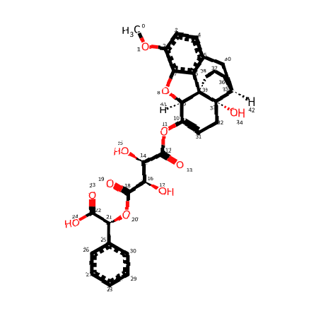 COc1ccc2c3c1O[C@@H]1C(OC(=O)[C@H](O)[C@@H](O)C(=O)O[C@H](C(=O)O)c4ccccc4)=CC[C@]4(O)[C@@H](CCC[C@@]314)C2